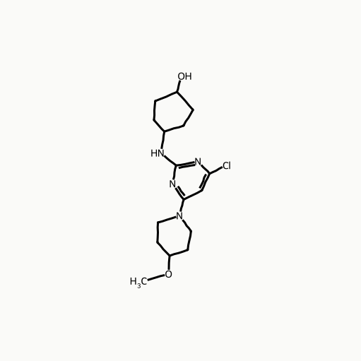 COC1CCN(c2cc(Cl)nc(NC3CCC(O)CC3)n2)CC1